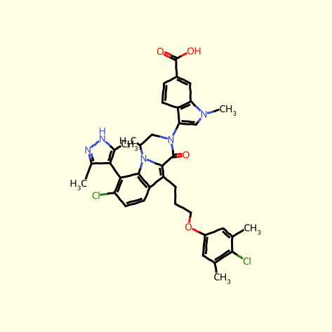 Cc1cc(OCCCc2c3n(c4c(-c5c(C)n[nH]c5C)c(Cl)ccc24)C(C)CN(c2cn(C)c4cc(C(=O)O)ccc24)C3=O)cc(C)c1Cl